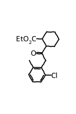 CCOC(=O)C1CCCCC1C(=O)Cc1c(C)cccc1Cl